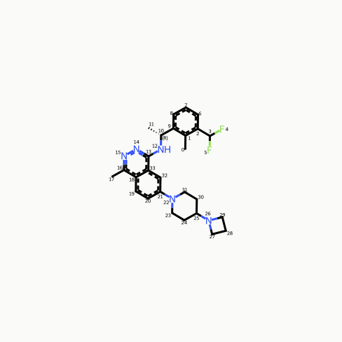 Cc1c(C(F)F)cccc1[C@@H](C)Nc1nnc(C)c2ccc(N3CCC(N4CCC4)CC3)cc12